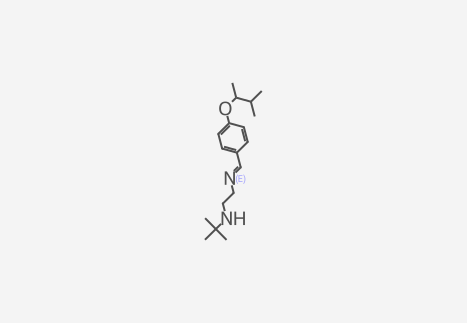 CC(C)C(C)Oc1ccc(/C=N/CCNC(C)(C)C)cc1